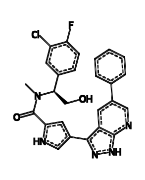 CN(C(=O)c1cc(-c2n[nH]c3ncc(-c4ccccc4)cc23)c[nH]1)[C@H](CO)c1ccc(F)c(Cl)c1